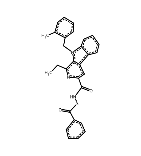 CCc1nc(C(=O)NSC(=O)c2ccccc2)cc2c3ccccc3n(Cc3ccccc3C)c12